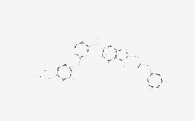 CN(c1ccc2c(c1)nc(NC(=O)Cc1ccccc1)n2C)c1ccnc(Nc2ccc(CS(C)(=O)=O)cc2)n1